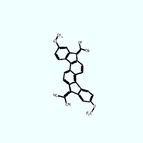 N#CC(C#N)=C1c2cc(OC(F)(F)F)ccc2-c2c1ccc1c3c(ccc21)C(=C(C#N)C#N)c1cc(OC(F)(F)F)ccc1-3